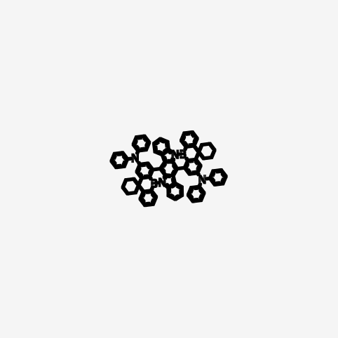 c1ccc(N(c2ccccc2)c2cc3c4c(c2)C2(CCCCC2)c2ccccc2B4n2c4ccccc4c4c5c6c(c-3c42)c2ccccc2n6B2c3ccccc3C3(CCCCC3)c3cc(N(c4ccccc4)c4ccccc4)cc-5c32)cc1